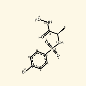 C[C@@H](NS(=O)(=O)c1ccc(Br)cc1)C(=O)NO